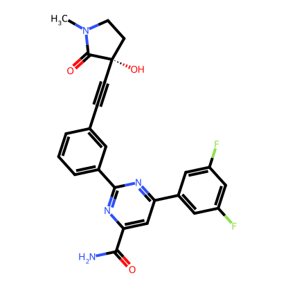 CN1CC[C@@](O)(C#Cc2cccc(-c3nc(C(N)=O)cc(-c4cc(F)cc(F)c4)n3)c2)C1=O